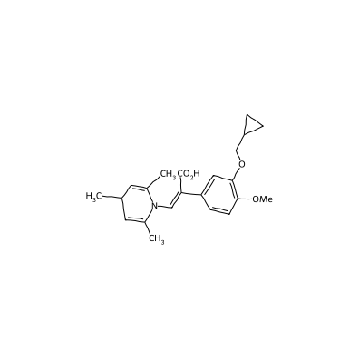 COc1ccc(/C(=C/N2C(C)=CC(C)C=C2C)C(=O)O)cc1OCC1CC1